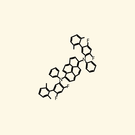 Cc1cccc(C)c1-c1cc(N(c2ccccc2)c2ccc3ccc4c(N(c5ccccc5)c5cc(-c6c(C)cccc6C)c(F)cc5F)ccc5ccc2c3c54)c(F)cc1F